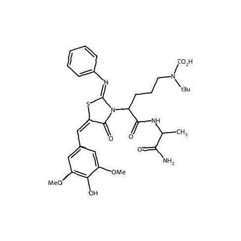 COc1cc(C=C2SC(=Nc3ccccc3)N(C(CCCN(C(=O)O)C(C)(C)C)C(=O)NC(C)C(N)=O)C2=O)cc(OC)c1O